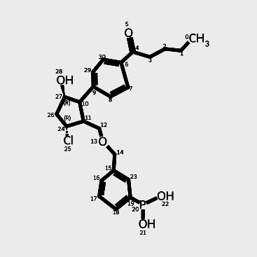 CCCCC(=O)c1ccc(C2C(COCc3cccc(P(O)O)c3)[C@H](Cl)C[C@H]2O)cc1